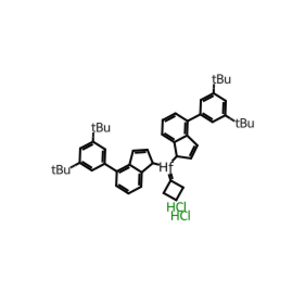 CC(C)(C)c1cc(-c2cccc3c2C=C[CH]3[Hf](=[C]2CCC2)[CH]2C=Cc3c(-c4cc(C(C)(C)C)cc(C(C)(C)C)c4)cccc32)cc(C(C)(C)C)c1.Cl.Cl